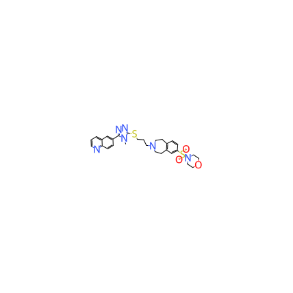 Cn1c(SCCCN2CCc3ccc(S(=O)(=O)N4CCOCC4)cc3CC2)nnc1-c1ccc2ncccc2c1